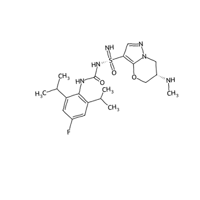 CN[C@@H]1COc2c([S@](=N)(=O)NC(=O)Nc3c(C(C)C)cc(F)cc3C(C)C)cnn2C1